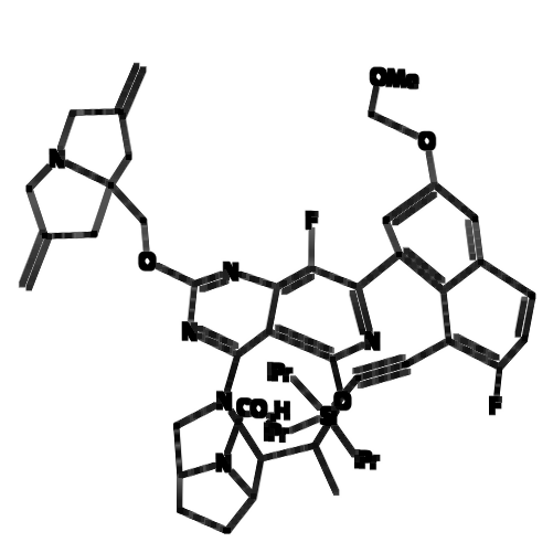 C=C1CN2CC(=C)CC2(COc2nc3c4c(nc(-c5cc(OCOC)cc6ccc(F)c(C#C[Si](C(C)C)(C(C)C)C(C)C)c56)c(F)c4n2)OC(C)C2C4CCC(CN32)N4C(=O)O)C1